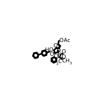 CC(=O)OCc1ccc([C@H](O)[C@](C)(OCc2ccc(-c3ccccc3)cc2)C(=O)N2C(=O)OC(C)(C)[C@@H]2c2ccccc2)o1